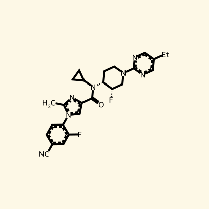 CCc1cnc(N2CC[C@@H](N(C(=O)c3cn(-c4ccc(C#N)cc4F)c(C)n3)C3CC3)[C@@H](F)C2)nc1